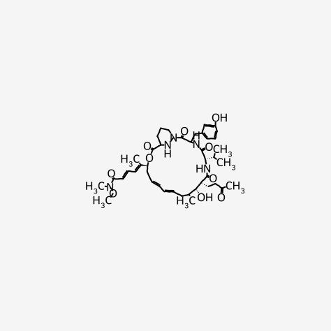 CON(C)C(=O)/C=C/C=C(\C)[C@@H]1C/C=C/C=C/C[C@H](C)[C@@H](O)[C@@H](CCC(C)=O)C(=O)N[C@@H](C(C)C)C(=O)NC(Cc2cccc(O)c2)C(=O)N2CCCC(N2)C(=O)O1